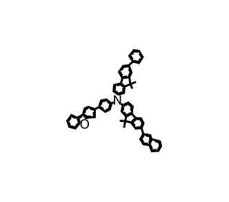 CC1(C)c2cc(-c3ccccc3)ccc2-c2ccc(N(c3ccc(-c4ccc5c(c4)oc4ccccc45)cc3)c3ccc4c(c3)C(C)(C)c3cc(-c5ccc6ccccc6c5)ccc3-4)cc21